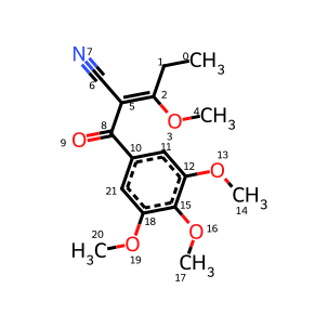 CCC(OC)=C(C#N)C(=O)c1cc(OC)c(OC)c(OC)c1